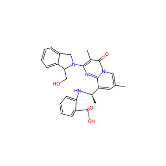 Cc1cc([C@@H](C)Nc2ccccc2C(=O)O)c2nc(N3Cc4ccccc4C3CO)c(C)c(=O)n2c1